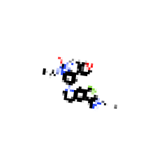 Cn1cc(-c2cc3c(cc2C(F)F)N(c2cc(C4=CCOCC4)c4c(c2)n(C)c(=O)n4C)CCC3)cn1